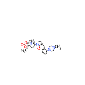 CC[C@@]1(c2ccc(N3CC[C@@H](Cc4ccccc4N4CCN(C)CC4)C3=O)cn2)OC(=O)O[C@H]1C